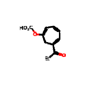 CCC(=O)C1=CC=CC=C(OC(=O)O)C1